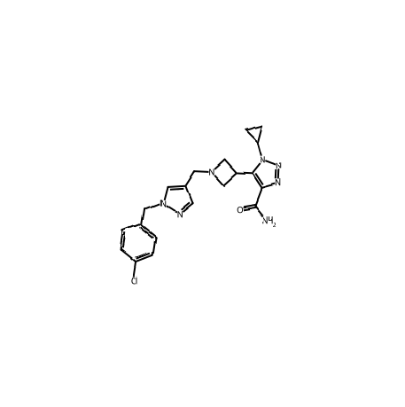 NC(=O)c1nnn(C2CC2)c1C1CN(Cc2cnn(Cc3ccc(Cl)cc3)c2)C1